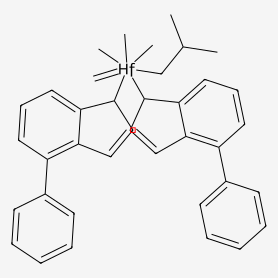 [CH2]=[Hf]([CH3])([CH3])([CH3])([CH2]C(C)C)([CH]1C=Cc2c(-c3ccccc3)cccc21)[CH]1C=Cc2c(-c3ccccc3)cccc21